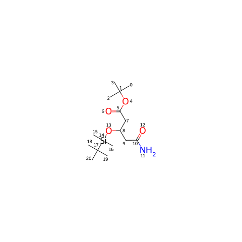 CC(C)(C)OC(=O)CC(CC(N)=O)O[Si](C)(C)C(C)(C)C